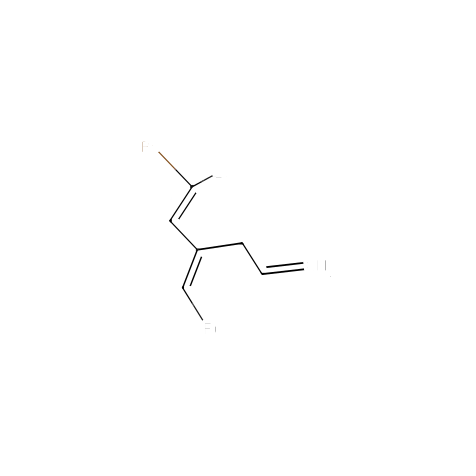 C=CCC(/C=C(/Br)CC)=C\CC